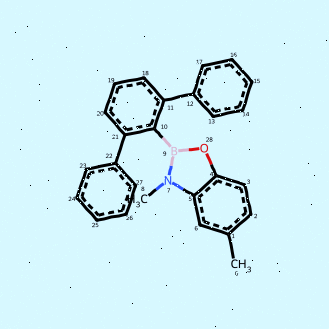 Cc1ccc2c(c1)N(C)B(c1c(-c3ccccc3)cccc1-c1ccccc1)O2